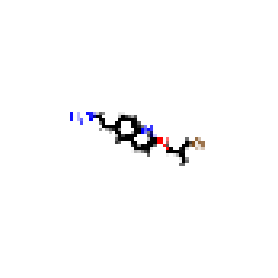 CC(CBr)COc1ccc2cc(CCN)ccc2n1